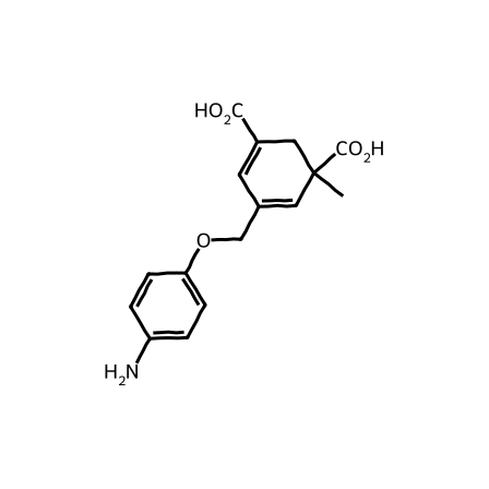 CC1(C(=O)O)C=C(COc2ccc(N)cc2)C=C(C(=O)O)C1